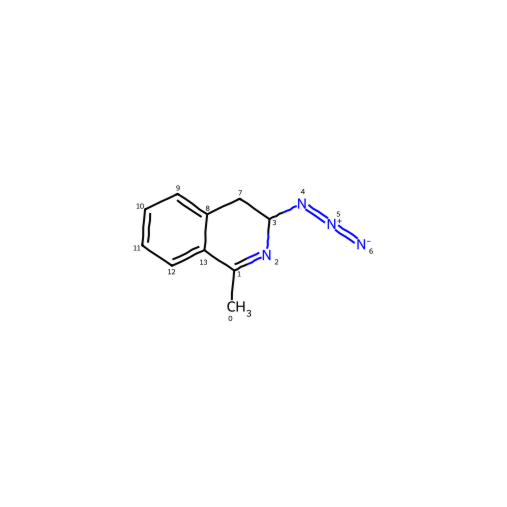 CC1=NC(N=[N+]=[N-])Cc2ccccc21